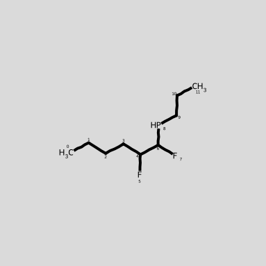 CCCCC(F)C(F)PCCC